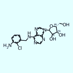 Nc1cccc(CNc2ncnc3c2ncn3C2O[C@H](CO)[C@@H](O)[C@H]2O)c1Cl